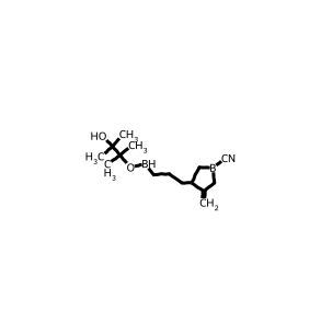 C=C1CB(C#N)CC1CCCBOC(C)(C)C(C)(C)O